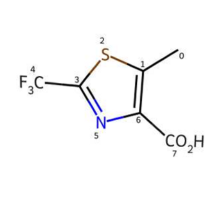 Cc1sc(C(F)(F)F)nc1C(=O)O